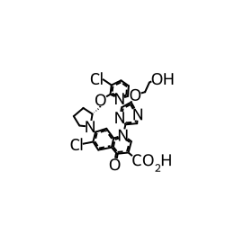 O=C(O)c1cn(-c2cnc(OCCO)cn2)c2cc(N3CCC[C@@H]3COc3ncccc3Cl)c(Cl)cc2c1=O